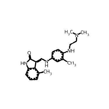 Cc1cc(N/C=C2/C(=O)Nc3cccc(C)c32)ccc1NCCN(C)C